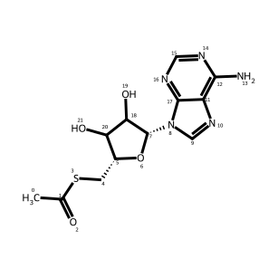 CC(=O)SC[C@H]1O[C@@H](n2cnc3c(N)ncnc32)C(O)C1O